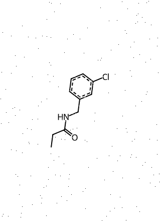 CCC(=O)NCc1cccc(Cl)c1